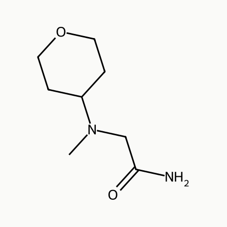 CN(CC(N)=O)C1CCOCC1